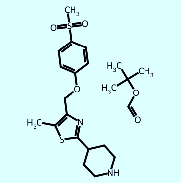 CC(C)(C)OC=O.Cc1sc(C2CCNCC2)nc1COc1ccc(S(C)(=O)=O)cc1